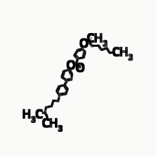 CCCCCC[C@@H](C)Oc1ccc(C(=O)Oc2ccc(-c3ccc(CCCCC(C)CC)cc3)cc2)cc1